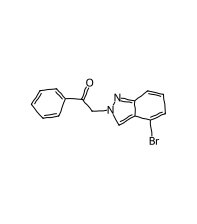 O=C(Cn1cc2c(Br)cccc2n1)c1ccccc1